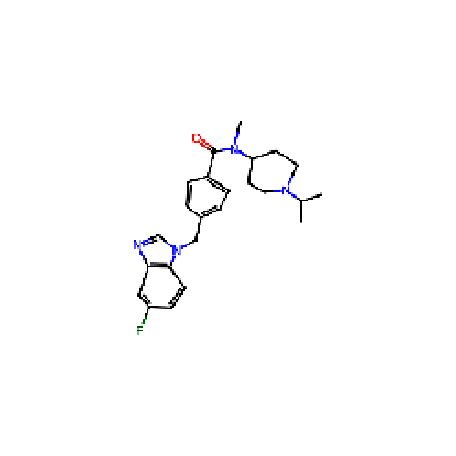 CC(C)N1CCC(N(C)C(=O)c2ccc(Cn3cnc4cc(F)ccc43)cc2)CC1